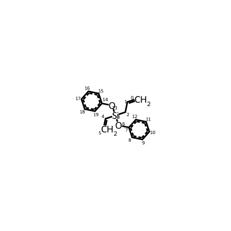 C=CC[Si](C=C)(Oc1ccccc1)Oc1ccccc1